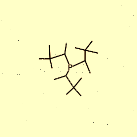 CC(P(C(C)C(C)(C)C)C(C)C(C)(C)C)C(C)(C)C